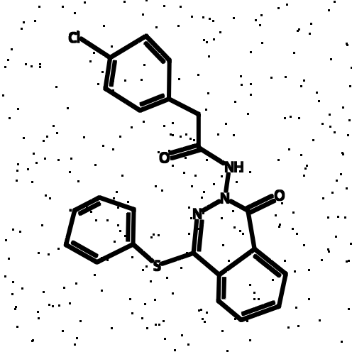 O=C(Cc1ccc(Cl)cc1)Nn1nc(Sc2cc[c]cc2)c2ccccc2c1=O